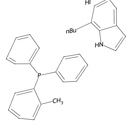 CCCCc1cccc2cc[nH]c12.Cc1ccccc1P(c1ccccc1)c1ccccc1.I